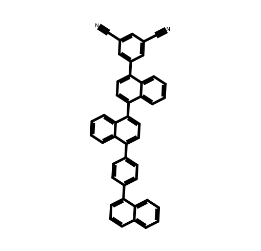 N#Cc1cc(C#N)cc(-c2ccc(-c3ccc(-c4ccc(-c5cccc6ccccc56)cc4)c4ccccc34)c3ccccc23)c1